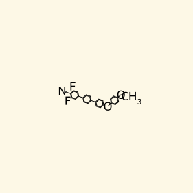 COc1ccc(Oc2ccc(-c3ccc(-c4cc(F)c(C#N)c(F)c4)cc3)cc2)cc1